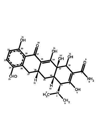 CN(C)[C@@H]1C(O)=C(C(N)=O)C(O)[C@@]2(O)C(O)=C3C(=O)c4c(O)ccc(C=O)c4C[C@H]3C[C@@H]12